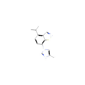 Cc1cn(-c2ccc(C(C)C)c3cnsc23)cn1